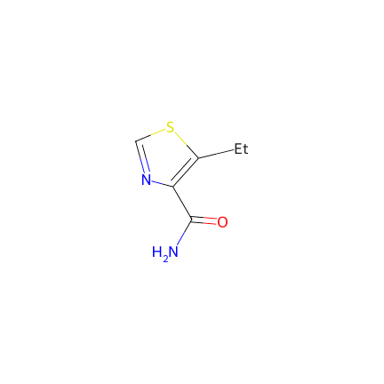 CCc1scnc1C(N)=O